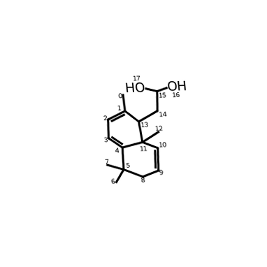 CC1=CC=C2C(C)(C)CC=CC2(C)C1CC(O)O